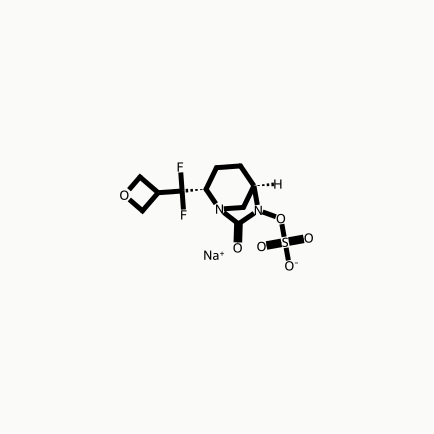 O=C1N2C[C@@H](CC[C@H]2C(F)(F)C2COC2)N1OS(=O)(=O)[O-].[Na+]